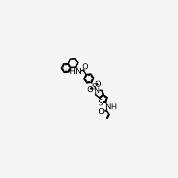 C=CC(=O)Nc1cc2c(s1)CN(S(=O)(=O)c1ccc(C(=O)NC3CCCc4ccccc43)cc1)C2